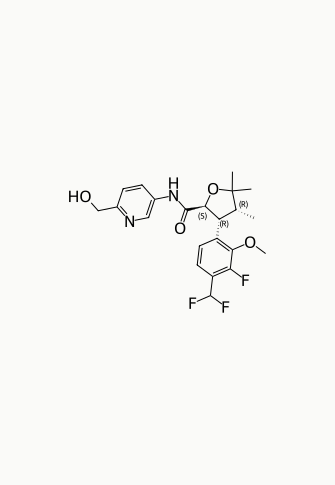 COc1c([C@@H]2[C@@H](C(=O)Nc3ccc(CO)nc3)OC(C)(C)[C@@H]2C)ccc(C(F)F)c1F